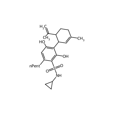 C=C(C)C1CCC(C)=CC1c1c(O)cc(CCCCC)c(S(=O)(=O)NC2CC2)c1O